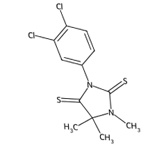 CN1C(=S)N(c2ccc(Cl)c(Cl)c2)C(=S)C1(C)C